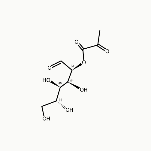 CC(=O)C(=O)O[C@H](C=O)[C@@H](O)[C@H](O)[C@H](O)CO